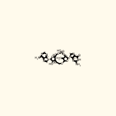 C=C1C2OCC[C@H]3[C@@H](O)[C@H](n4cnc5c(N)ncnc54)O[C@@H]3COP(=O)(O)O[C@H]1[C@H](n1cnc3c(=O)[nH]c(N)nc31)O2